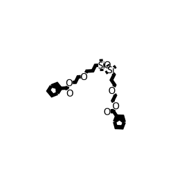 C[Si](C)(CCCOCCOC(=O)C1CC2C=CC1C2)O[Si](C)(C)CCCOCCOC(=O)C1CC2C=CC1C2